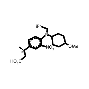 COC1CCC(N(CC(C)C)c2ccc([C@H](C)CC(=O)O)cc2[N+](=O)[O-])CC1